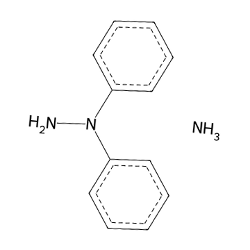 N.NN(c1ccccc1)c1ccccc1